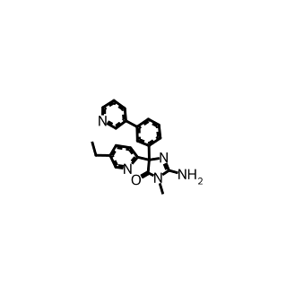 CCc1ccc(C2(c3cccc(-c4cccnc4)c3)N=C(N)N(C)C2=O)nc1